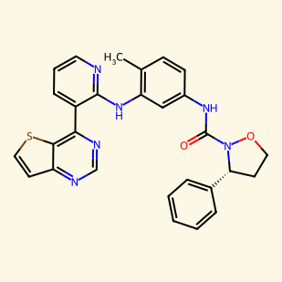 Cc1ccc(NC(=O)N2OCC[C@@H]2c2ccccc2)cc1Nc1ncccc1-c1ncnc2ccsc12